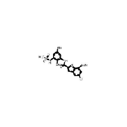 CNc1cc(Cl)cc2cc(C(=O)Nc3cc(C(C)(C)C)cc(NS(C)(=O)=O)c3OC)sc12